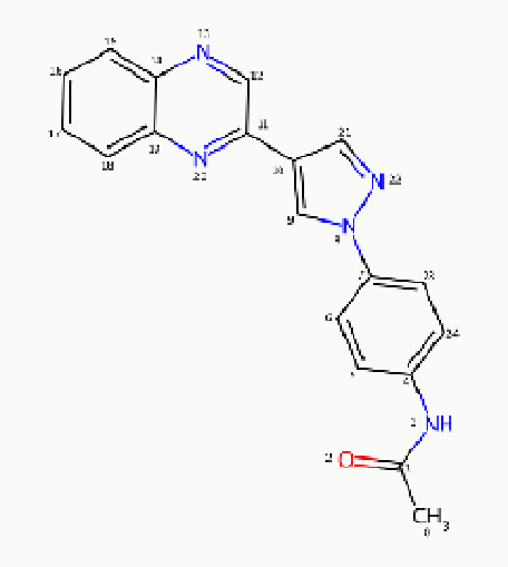 CC(=O)Nc1ccc(-n2cc(-c3cnc4ccccc4n3)cn2)cc1